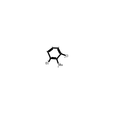 CCc1cccc(Cl)c1C(C)(C)C